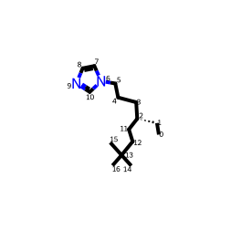 CC[C@@H](CCCn1ccnc1)CCC(C)(C)C